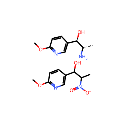 COc1ccc(C(O)C(C)[N+](=O)[O-])cn1.COc1ccc([C@@H](O)[C@H](C)N)cn1